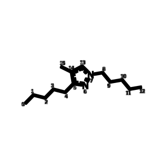 CCCCCc1nn(CCCCC)cc1C